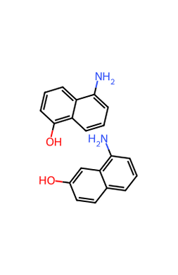 Nc1cccc2c(O)cccc12.Nc1cccc2ccc(O)cc12